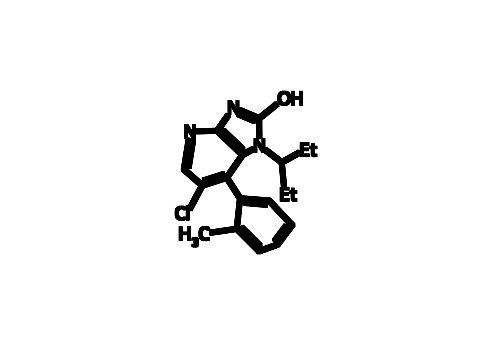 CCC(CC)n1c(O)nc2ncc(Cl)c(-c3ccccc3C)c21